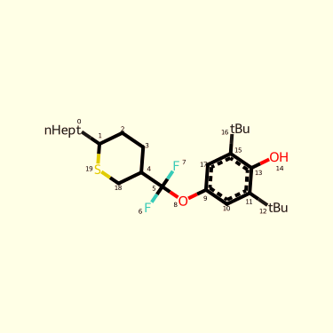 CCCCCCCC1CCC(C(F)(F)Oc2cc(C(C)(C)C)c(O)c(C(C)(C)C)c2)CS1